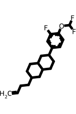 C=CCCC1CCC2CC(c3ccc(OC(F)F)c(F)c3)CCC2C1